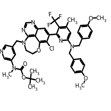 COc1ccc(CN(Cc2ccc(OC)cc2)c2cc(C)c(C(F)(F)F)c(-c3cc4ncnc5c4c(c3Cl)OCCN5Cc3cncc(N(C)C(=O)OC(C)(C)C)c3)n2)cc1